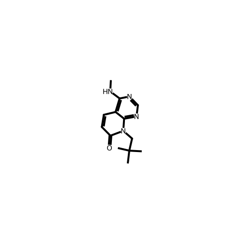 CNc1ncnc2c1ccc(=O)n2CC(C)(C)C